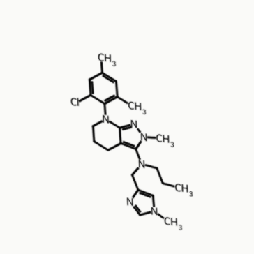 CCCN(Cc1cn(C)cn1)c1c2c(nn1C)N(c1c(C)cc(C)cc1Cl)CCC2